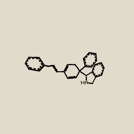 C(=Cc1ccccc1)C1=CCC(c2ccccc2)(C2NCc3ccccc32)C=C1